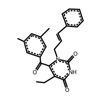 CCc1c(C(=O)c2cc(C)cc(C)c2)n(CC=Cc2ccccc2)c(=O)[nH]c1=O